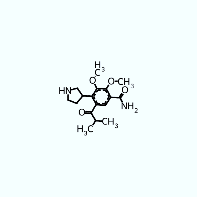 COc1c(C(N)=O)cc(C(=O)C(C)C)c(C2CCNC2)c1OC